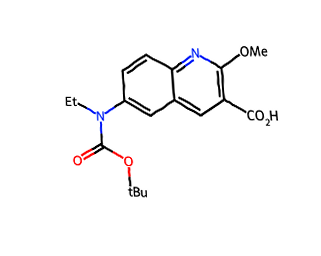 CCN(C(=O)OC(C)(C)C)c1ccc2nc(OC)c(C(=O)O)cc2c1